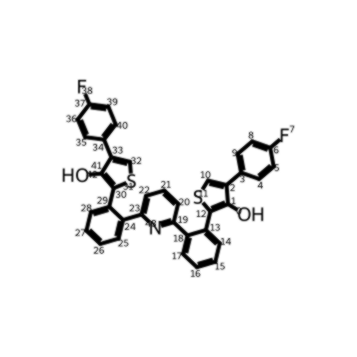 Oc1c(-c2ccc(F)cc2)csc1-c1ccccc1-c1cccc(-c2ccccc2-c2scc(-c3ccc(F)cc3)c2O)n1